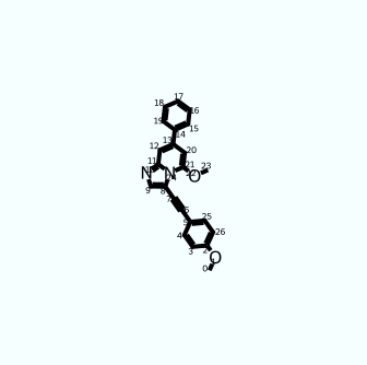 COc1ccc(C#Cc2cnc3cc(-c4ccccc4)cc(OC)n23)cc1